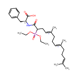 CCOP(=O)(OCC)C(C/C=C(\C)CC/C=C(\C)CCC=C(C)C)C(=O)N[C@@H](Cc1ccccc1)C(=O)O